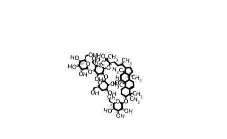 C[C@H](CC[C@@H](O[C@@H]1O[C@H](CO)[C@@H](O[C@H]2O[C@H](CO)[C@@H](O)[C@H](O)[C@H]2O)[C@H](O)[C@H]1O[C@@H]1O[C@H](CO)C[C@H](O)[C@H]1O)C(C)(C)O)C1CC[C@@]2(C)C3CC=C4C(CC[C@H](O[C@@H]5O[C@H](CO)[C@@H](O)[C@H](O)[C@H]5O)C4(C)C)[C@]3(C)[C@H](O)C[C@]12C